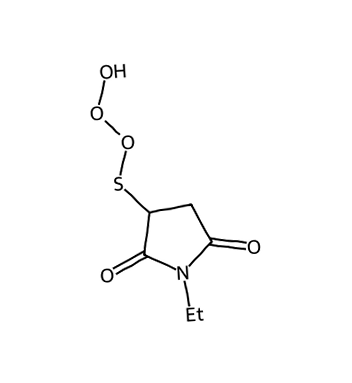 CCN1C(=O)CC(SOOO)C1=O